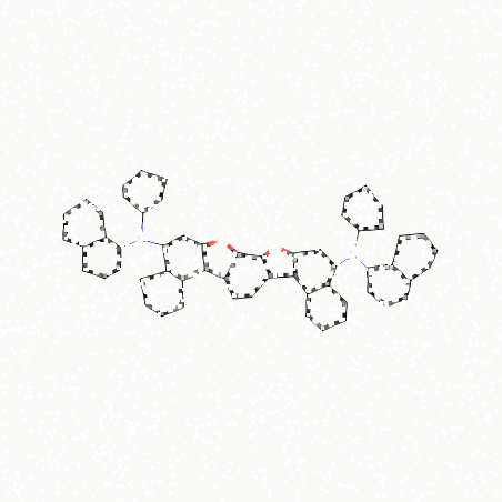 c1ccc(N(c2cccc3ccccc23)c2cc3oc4c(ccc5c4oc4cc(N(c6ccccc6)c6cccc7ccccc67)c6ccccc6c45)c3c3ccccc23)cc1